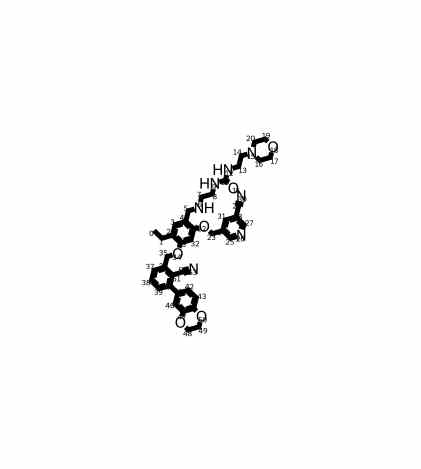 CCc1cc(CNCCNC(=O)NCCN2CCOCC2)c(OCc2cncc(C#N)c2)cc1OCc1cccc(-c2ccc3c(c2)OCCO3)c1C#N